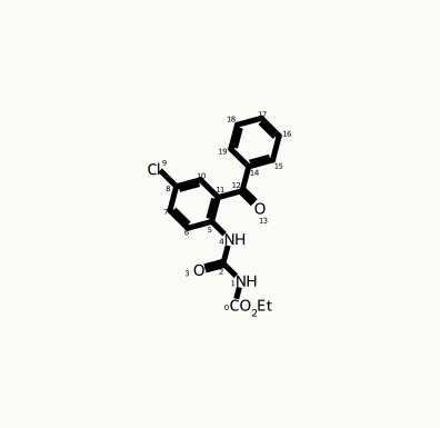 CCOC(=O)NC(=O)Nc1ccc(Cl)cc1C(=O)c1ccccc1